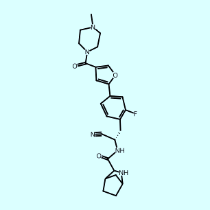 CN1CCN(C(=O)c2coc(-c3ccc(C[C@@H](C#N)NC(=O)C4NC5CCC4C5)c(F)c3)c2)CC1